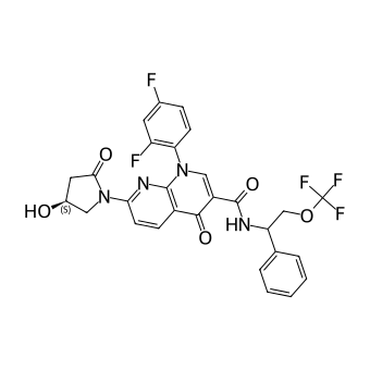 O=C(NC(COC(F)(F)F)c1ccccc1)c1cn(-c2ccc(F)cc2F)c2nc(N3C[C@@H](O)CC3=O)ccc2c1=O